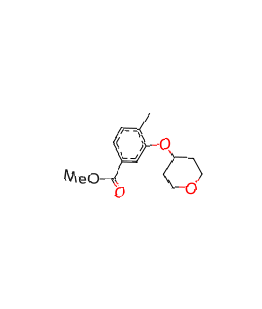 COC(=O)c1ccc(C)c(OC2CCOCC2)c1